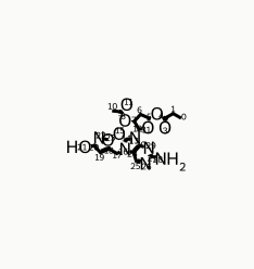 CCC(=O)O[C@H]1C[C@@H](OC(C)=O)[C@H](n2c(=O)n(Cc3cc(O)no3)c3cnc(N)nc32)O1